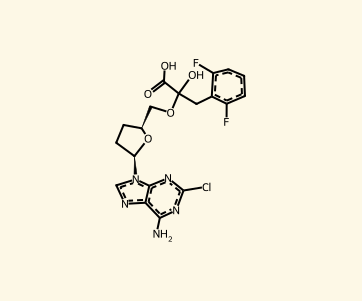 Nc1nc(Cl)nc2c1ncn2[C@H]1CC[C@@H](COC(O)(Cc2c(F)cccc2F)C(=O)O)O1